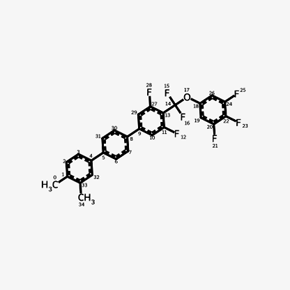 Cc1ccc(-c2ccc(-c3cc(F)c(C(F)(F)Oc4cc(F)c(F)c(F)c4)c(F)c3)cc2)cc1C